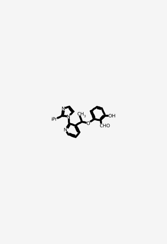 CC(C)c1nccn1-c1ncccc1C(C)Oc1cccc(O)c1C=O